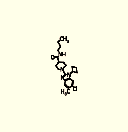 CCCCNC(=O)C1CCN(c2nc3cc(C)c(Cl)cc3n2C2CCC2)CC1